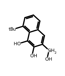 CC(C)(C)c1cccc2cc([SiH2]O)c(O)c(O)c12